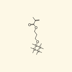 C=C(C)C(=O)OCCCO[Si]1(C)[Si](C)(C)[Si](C)(C)[Si]1(C)C